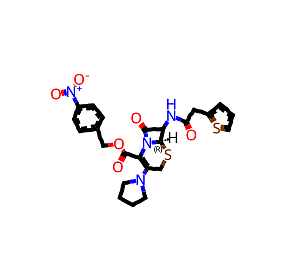 O=C(Cc1cccs1)NC1C(=O)N2C(C(=O)OCc3ccc([N+](=O)[O-])cc3)=C(N3CCCC3)CS[C@H]12